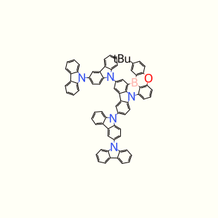 CC(C)(C)c1ccc2c(c1)B1c3c(cccc3-n3c4ccc(-n5c6ccccc6c6cc(-n7c8ccccc8c8ccccc87)ccc65)cc4c4cc(-n5c6ccccc6c6cc(-n7c8ccccc8c8ccccc87)ccc65)cc1c43)O2